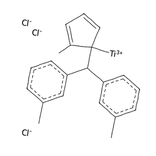 CC1=CC=C[C]1([Ti+3])C(c1cccc(C)c1)c1cccc(C)c1.[Cl-].[Cl-].[Cl-]